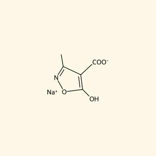 Cc1noc(O)c1C(=O)[O-].[Na+]